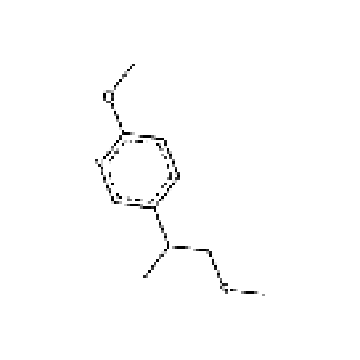 COc1ccc(C(C)CSC)cn1